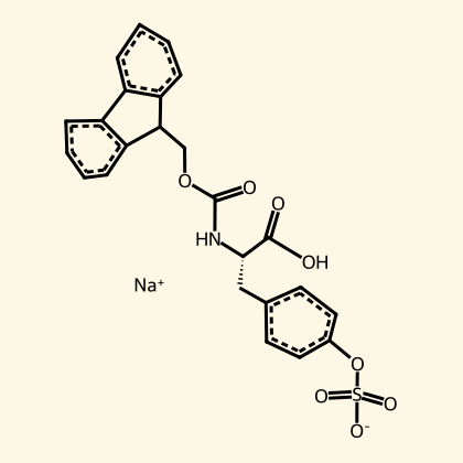 O=C(N[C@@H](Cc1ccc(OS(=O)(=O)[O-])cc1)C(=O)O)OCC1c2ccccc2-c2ccccc21.[Na+]